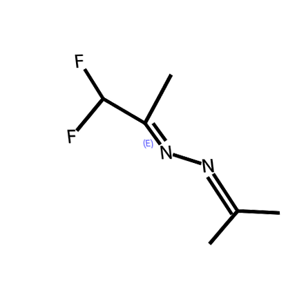 CC(C)=N/N=C(\C)C(F)F